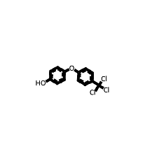 Oc1ccc(Oc2ccc(C(Cl)(Cl)Cl)cc2)cc1